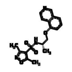 Cc1noc(C)c1S(=O)(=O)N[C@@H](C)COc1cccc2cnccc12